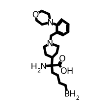 BCCCCC(N)(C(=O)O)C1CCN(Cc2ccccc2N2CCOCC2)CC1